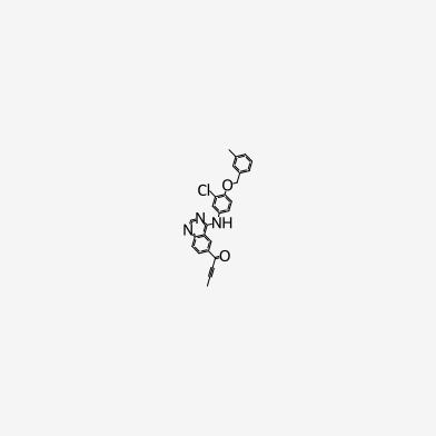 CC#CC(=O)c1ccc2ncnc(Nc3ccc(OCc4cccc(C)c4)c(Cl)c3)c2c1